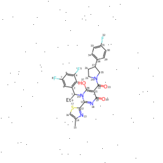 CCC(c1cc(F)cc(F)c1)n1c(-c2nc(C)cs2)nc(=O)c(C(=O)N2CCC(c3ccc(F)cc3)C2)c1O